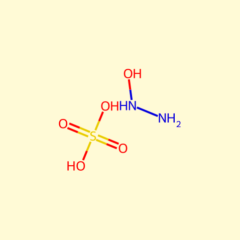 NNO.O=S(=O)(O)O